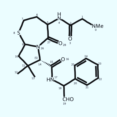 CNCC(=O)NC1CCSC2CC(C)(C)[C@@H](C(=O)NC(C=O)c3ccccc3)N2C1=O